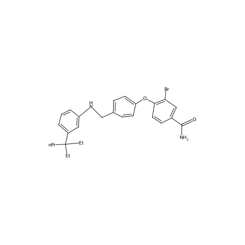 CCCC(CC)(CC)c1cccc(NCc2ccc(Oc3ccc(C(N)=O)cc3Br)cc2)c1